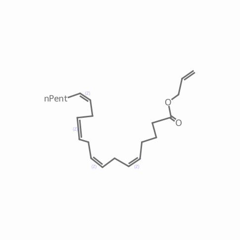 C=CCOC(=O)CCC/C=C\C/C=C\C/C=C\C/C=C\CCCCC